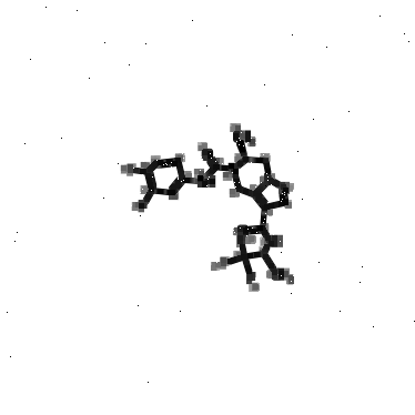 CC(NC(=O)c1cnn2c1CN(C(=O)Nc1ccc(F)c(F)c1)[C@@H](C)C2)C(F)(F)F